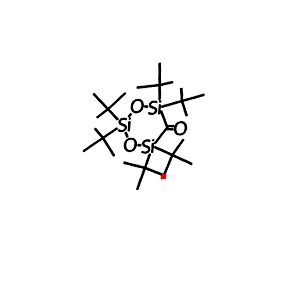 CC(C)(C)[Si]1(C(C)(C)C)O[Si](C(C)(C)C)(C(C)(C)C)C(=O)[Si](C(C)(C)C)(C(C)(C)C)O1